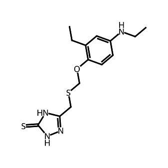 CCNc1ccc(OCSCc2n[nH]c(=S)[nH]2)c(CC)c1